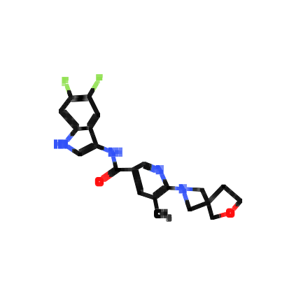 Cc1cc(C(=O)Nc2c[nH]c3cc(F)c(F)cc23)cnc1N1CC2(CCOC2)C1